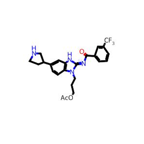 CC(=O)OCCCn1/c(=N/C(=O)c2cccc(C(F)(F)F)c2)[nH]c2cc(C3CCNC3)ccc21